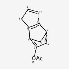 CC(=O)OC1=C2CC(=C1)C1=C2CC=C1